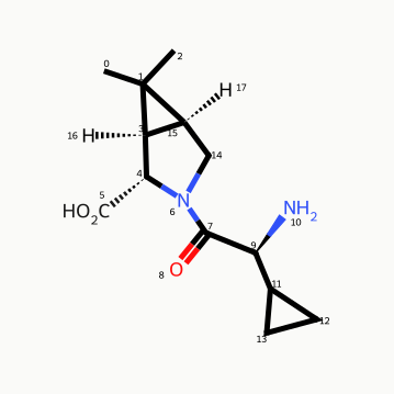 CC1(C)[C@@H]2[C@@H](C(=O)O)N(C(=O)[C@@H](N)C3CC3)C[C@@H]21